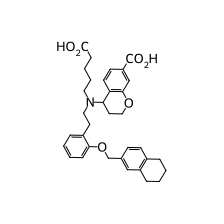 O=C(O)CCCCN(CCc1ccccc1OCc1ccc2c(c1)CCCC2)C1CCOc2cc(C(=O)O)ccc21